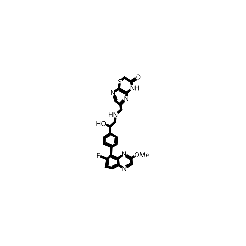 COc1cnc2ccc(F)c(-c3ccc(C(O)CNCc4cnc5c(n4)NC(=O)CS5)cc3)c2n1